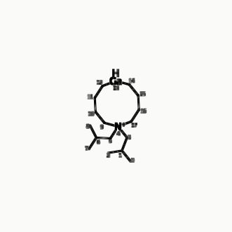 CC(C)C[N+]1(CC(C)C)CCC[CH2][GaH][CH2]CCC1